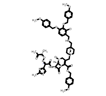 COc1ccc(COC(=O)C2=C(C[N+]34CCC(CNCc5ccc(OCc6ccc(OC)cc6)c(OCc6ccc(OC)cc6)c5Cl)(CC3)CC4)C[S+]([O-])[C@@H]3[C@H](NC(=O)/C(=N\O[C@@H](C)C(C)=O)c4csc(C)n4)C(=O)N23)cc1